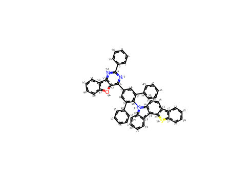 c1ccc(-c2nc(-c3cc(-c4ccccc4)c(-n4c5ccccc5c5c6sc7ccccc7c6ccc54)c(-c4ccccc4)c3)c3oc4ccccc4c3n2)cc1